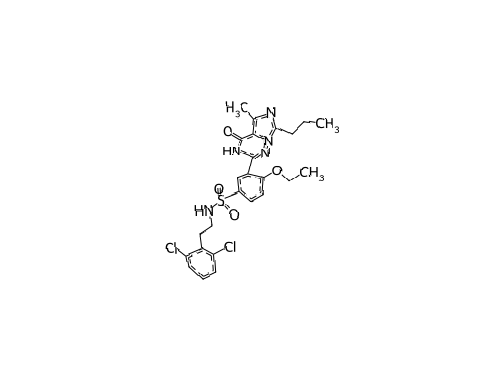 CCCc1nc(C)c2c(=O)[nH]c(-c3cc(S(=O)(=O)NCCc4c(Cl)cccc4Cl)ccc3OCC)nn12